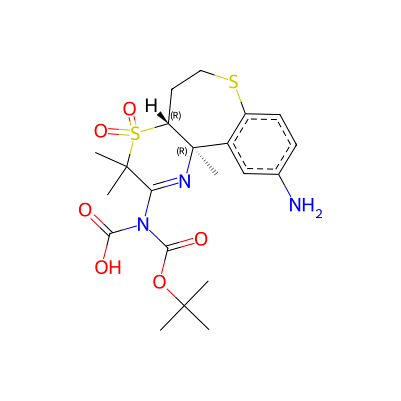 CC(C)(C)OC(=O)N(C(=O)O)C1=N[C@]2(C)c3cc(N)ccc3SCC[C@H]2S(=O)(=O)C1(C)C